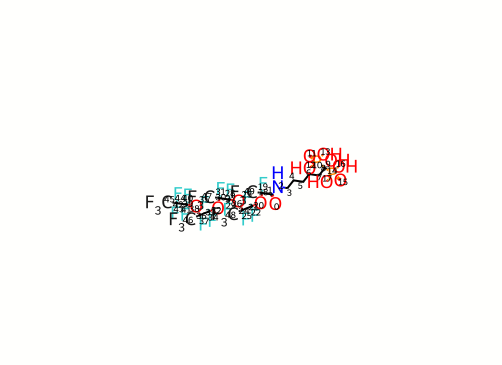 O=C(NCCCCCC(O)(P(=O)(O)O)P(=O)(O)O)C(F)(OC(F)(F)C(F)(OC(F)(F)C(F)(OC(F)(F)C(F)(OC(F)(F)C(F)(F)C(F)(F)F)C(F)(F)F)C(F)(F)F)C(F)(F)F)C(F)(F)F